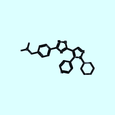 CN(C)Cc1ccc(-c2noc(-c3cnn(C4CCCCC4)c3-c3ccncc3)n2)cc1